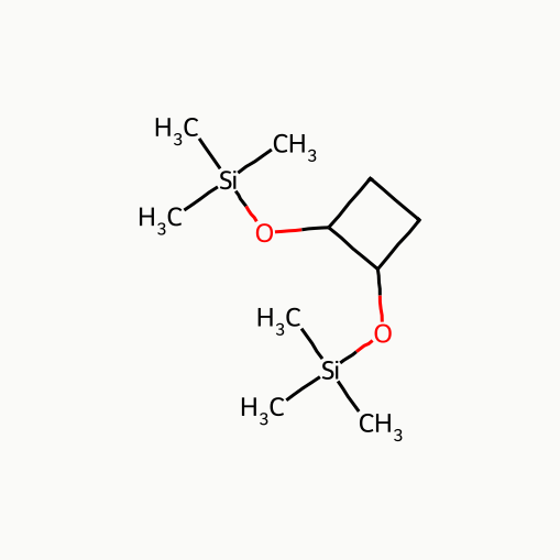 C[Si](C)(C)OC1CCC1O[Si](C)(C)C